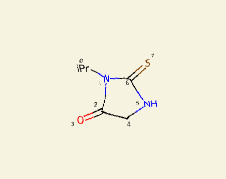 CC(C)N1C(=O)CNC1=S